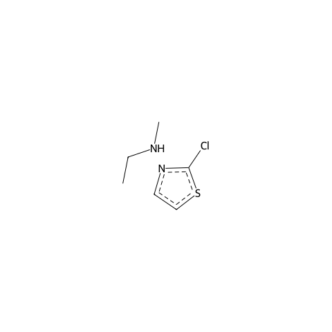 CCNC.Clc1nccs1